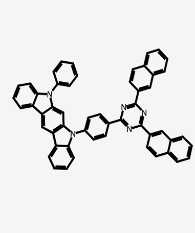 c1ccc(-n2c3ccccc3c3cc4c5ccccc5n(-c5ccc(-c6nc(-c7ccc8ccccc8c7)nc(-c7ccc8ccccc8c7)n6)cc5)c4cc32)cc1